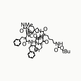 CNC(=O)N1CCC2(CC1)CN(C(=O)[C@@H](CCCCNC(=O)OC(C)(C)C)NC(=O)[C@@H](CC(C)C)NC(=O)[C@@H](Cc1ccccc1)NC(=O)[C@@H](Cc1ccccc1)N(C(=O)O)C(C)(C)C)C2